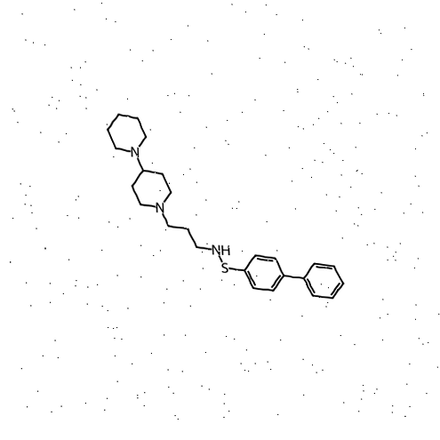 c1ccc(-c2ccc(SNCCCN3CCC(N4CCCCC4)CC3)cc2)cc1